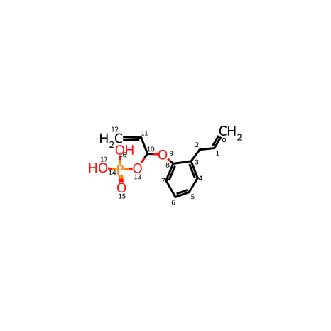 C=CCc1ccccc1OC(C=C)OP(=O)(O)O